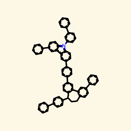 c1ccc(-c2ccc(C3CCc4ccc(-c5ccccc5)cc4-c4cc(-c5ccc(-c6ccc7c(c6)c6cc(-c8ccccc8)ccc6n7-c6cccc(-c7ccccc7)c6)cc5)ccc43)cc2)cc1